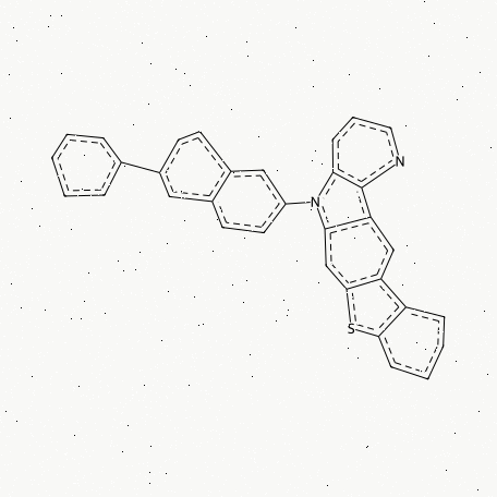 c1ccc(-c2ccc3cc(-n4c5cc6sc7ccccc7c6cc5c5ncccc54)ccc3c2)cc1